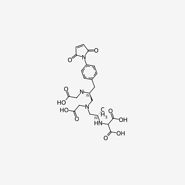 C[C@@H](CN(CC(=O)O)C[C@H](Cc1ccc(N2C(=O)C=CC2=O)cc1)[N]CC(=O)O)NC(C(=O)O)C(=O)O